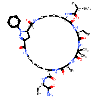 CC(=O)N[C@H](C(=O)N[C@H]1CCCCNC(=O)C2(C)CC(=NN2c2ccccc2)C(=O)NCCCC[C@@H](C(=O)N[C@@H](CC(C)C)C(N)=O)NC(=O)[C@H](C(C)C)NC(=O)C(C)(C)NC(=O)[C@H](CC(C)C)NC1=O)C(C)C